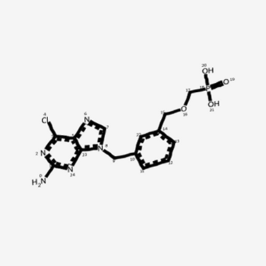 Nc1nc(Cl)c2ncn(Cc3cccc(COCP(=O)(O)O)c3)c2n1